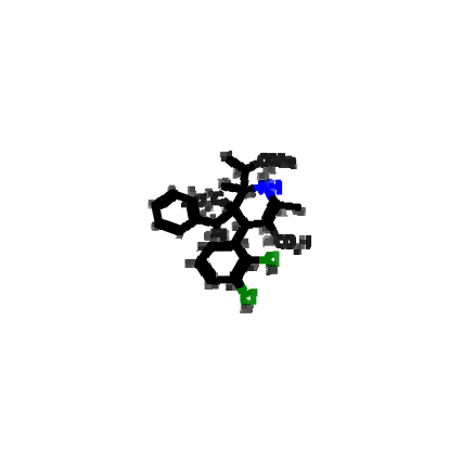 CCC(c1ccccc1)C1(C(=O)O)C(c2cccc(Cl)c2Cl)C(C(=O)O)=C(C)NC1(C)C(C)OC